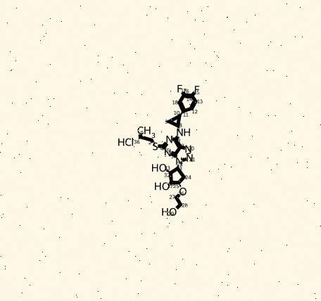 CCCSc1nc(N[C@@H]2C[C@H]2c2ccc(F)c(F)c2)c2nnn([C@@H]3C[C@H](OCCO)[C@@H](O)[C@H]3O)c2n1.Cl